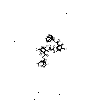 O=C(Oc1c(Cl)cc(Cl)c(Cl)c1C(=O)OCC12CC3CC(CC(C3)C1)C2)C(=O)Oc1c(Cl)cc(Cl)c(Cl)c1C(=O)OCC12CC3CC(CC(C3)C1)C2